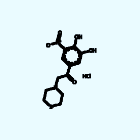 Cl.O=C(CN1CCSCC1)c1cc(O)c(O)c([N+](=O)[O-])c1